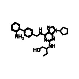 CCC(CO)Nc1nc(NCc2ccc(-c3ccccc3N)cc2)c2ncn(C3CCCC3)c2n1